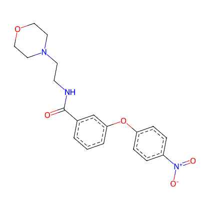 O=C(NCCN1CCOCC1)c1cccc(Oc2ccc([N+](=O)[O-])cc2)c1